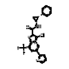 O=C(N[C@H]1C[C@@H]1c1ccccc1)c1nc2c(C(F)(F)F)cc(-c3ccco3)cn2c1Cl